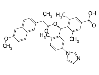 COc1ccc2cc([C@H](C)C(=O)O[C@H](c3cc(-n4ccnc4)ccc3C)c3c(C)cc(C(=O)O)cc3C)ccc2c1